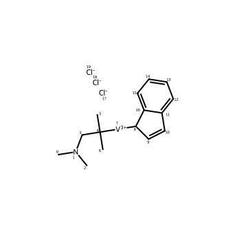 CN(C)C[C](C)(C)[V+3][CH]1C=Cc2ccccc21.[Cl-].[Cl-].[Cl-]